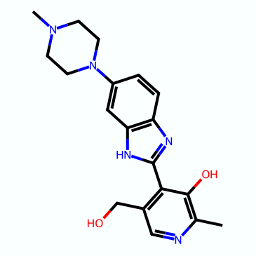 Cc1ncc(CO)c(-c2nc3ccc(N4CCN(C)CC4)cc3[nH]2)c1O